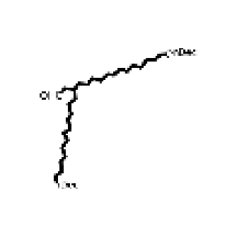 CCCCCCCCCCCCCCCCCCCCCCCCC(CC=O)CCCCCCCCCCCCCCCCCCCCCC